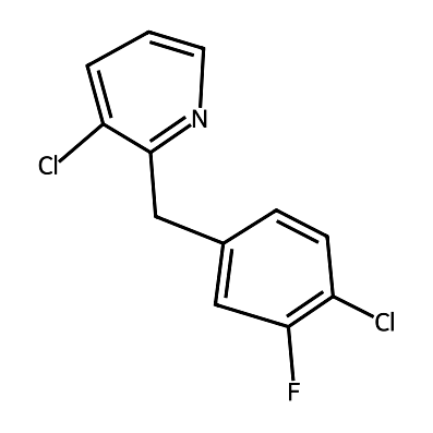 Fc1cc(Cc2ncccc2Cl)ccc1Cl